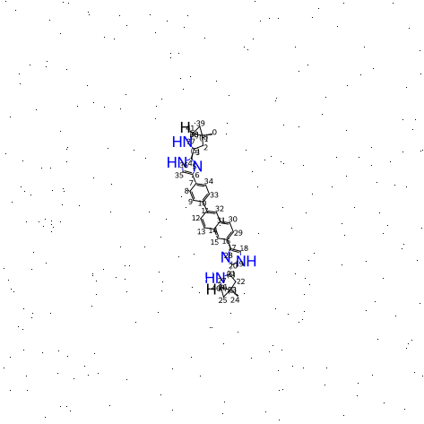 C[C@@]12C[C@@H](c3nc(-c4ccc(-c5ccc6cc(-c7c[nH]c([C@@H]8C[C@]9(C)C[C@H]9N8)n7)ccc6c5)cc4)c[nH]3)N[C@@H]1C2